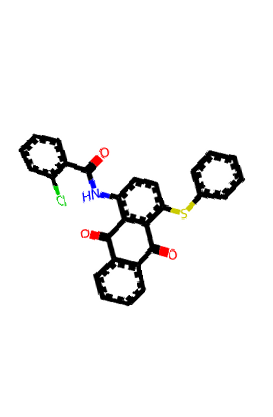 O=C(Nc1ccc(Sc2ccccc2)c2c1C(=O)c1ccccc1C2=O)c1ccccc1Cl